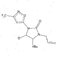 C=CCN1C(=O)N(c2cc(C(F)(F)F)no2)C(Cl)C1CCCC